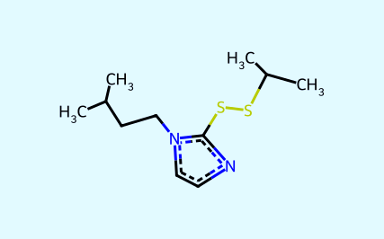 CC(C)CCn1ccnc1SSC(C)C